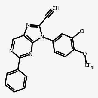 C#Cc1nc2cnc(-c3ccccc3)nc2n1-c1ccc(OC(F)(F)F)c(Cl)c1